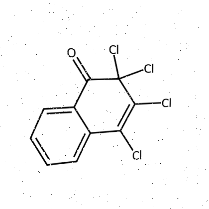 O=C1c2ccccc2C(Cl)=C(Cl)C1(Cl)Cl